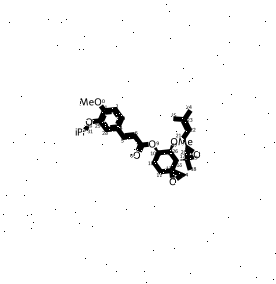 COc1ccc(/C=C/C(=O)O[C@@H]2CCC3(CO3)[C@@H](C3(C)O[C@H]3CC=C(C)C)[C@@H]2OC)cc1OC(C)C